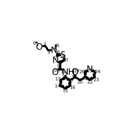 COCCN(C)c1nc(C(=O)Nc2ccccc2C(=O)Cc2cccnc2)cs1